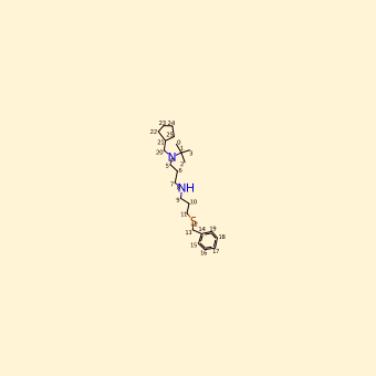 CC(C)(C)N(CCCNCCCSCc1ccccc1)CC1CCCC1